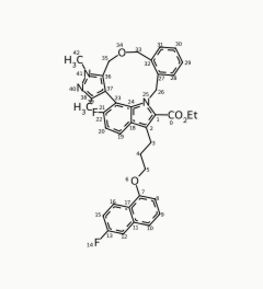 CCOC(=O)c1c(CCCOc2cccc3cc(F)ccc23)c2ccc(F)c3c2n1Cc1ccccc1COCc1c-3c(C)nn1C